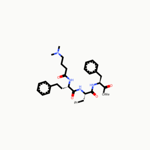 COC(=O)[C@H](Cc1ccccc1)NC(=O)[C@H](CC(C)C)NC(=O)[C@H](CCc1ccccc1)NC(=O)CCCN(C)C